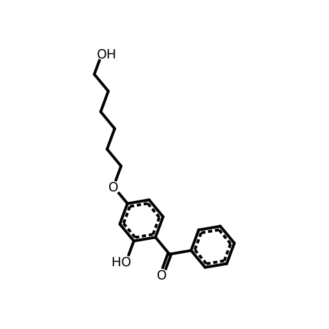 O=C(c1ccccc1)c1ccc(OCCCCCCO)cc1O